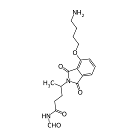 CC(CCC(=O)NC=O)N1C(=O)c2cccc(OCCCCN)c2C1=O